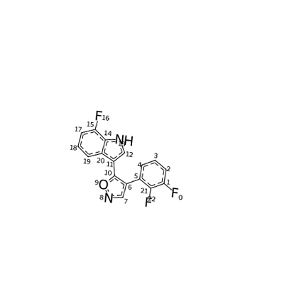 Fc1cccc(-c2cnoc2-c2c[nH]c3c(F)cccc23)c1F